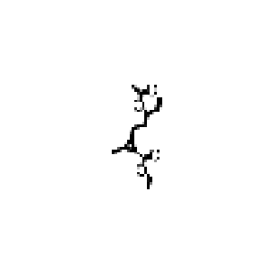 C=CC(CCC1C(C)[C@@H]1C(=O)OCC)OC(C)=O